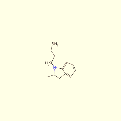 CC1Cc2ccccc2N1[SiH2]CC[SiH3]